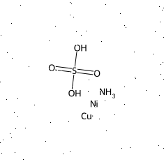 N.O=S(=O)(O)O.[Cu].[Ni]